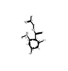 C=C(OCC(C)=O)c1c(F)cc(F)cc1NC